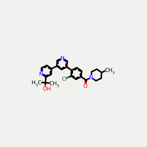 CC1CCN(C(=O)c2ccc(-c3cncc(-c4ccnc(C(C)(C)O)c4)c3)c(Cl)c2)CC1